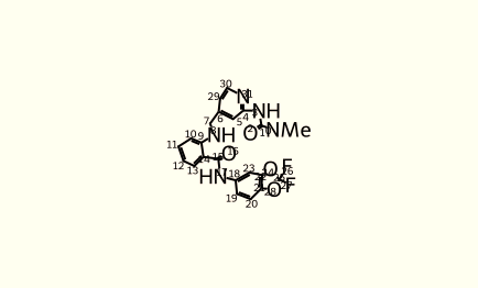 CNC(=O)Nc1cc(CNc2ccccc2C(=O)Nc2ccc3c(c2)OC(F)(F)O3)ccn1